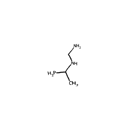 CC(P)NCN